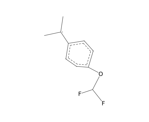 C[C](C)c1ccc(OC(F)F)cc1